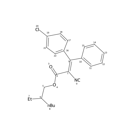 [C-]#[N+]/C(C(=O)OCC(CC)CCCC)=C(\c1ccccc1)c1ccc(Cl)cc1